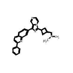 CN(C)CC1CC(c2nc(-c3ccc4ccc(-c5ccccc5)nc4c3)c3cnccn23)C1